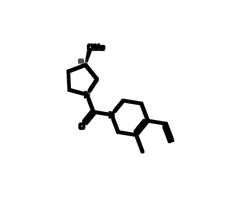 C=CC1=C(C)CN(C(=O)N2CC[C@H](OC)C2)CC1